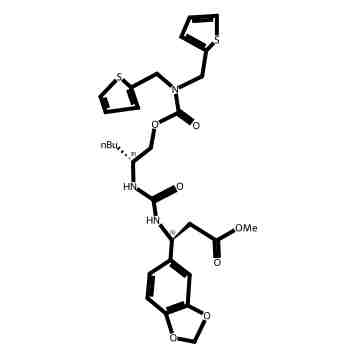 CCCC[C@H](COC(=O)N(Cc1cccs1)Cc1cccs1)NC(=O)N[C@@H](CC(=O)OC)c1ccc2c(c1)OCO2